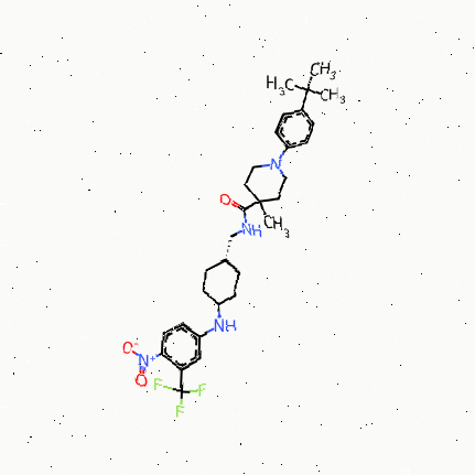 CC1(C(=O)NC[C@H]2CC[C@H](Nc3ccc([N+](=O)[O-])c(C(F)(F)F)c3)CC2)CCN(c2ccc(C(C)(C)C)cc2)CC1